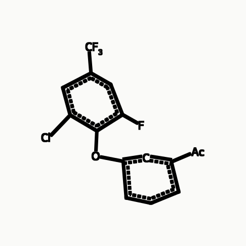 CC(=O)c1cccc(Oc2c(F)cc(C(F)(F)F)cc2Cl)c1